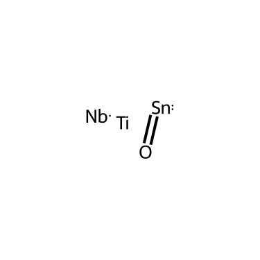 [Nb].[O]=[Sn].[Ti]